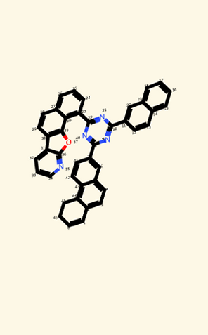 C1=Cc2ccc3cc(-c4nc(-c5ccc6ccccc6c5)nc(-c5cccc6ccc7c8cccnc8oc7c56)n4)ccc3c2CC1